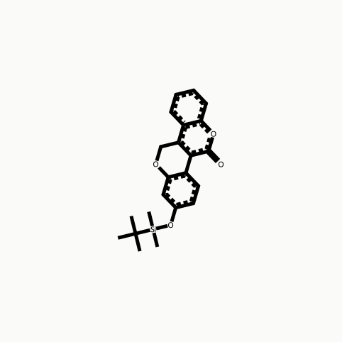 CC(C)(C)[Si](C)(C)Oc1ccc2c(c1)OCc1c-2c(=O)oc2ccccc12